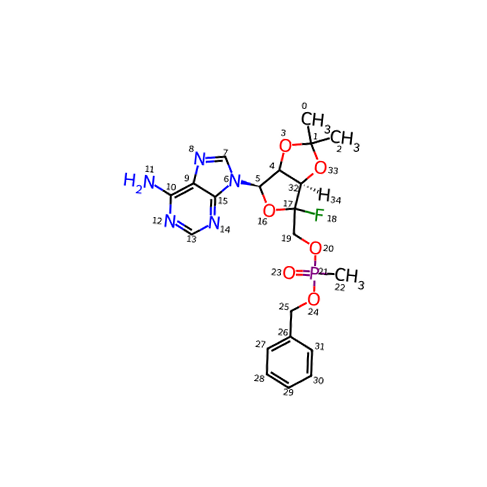 CC1(C)OC2[C@H](n3cnc4c(N)ncnc43)OC(F)(COP(C)(=O)OCc3ccccc3)[C@@H]2O1